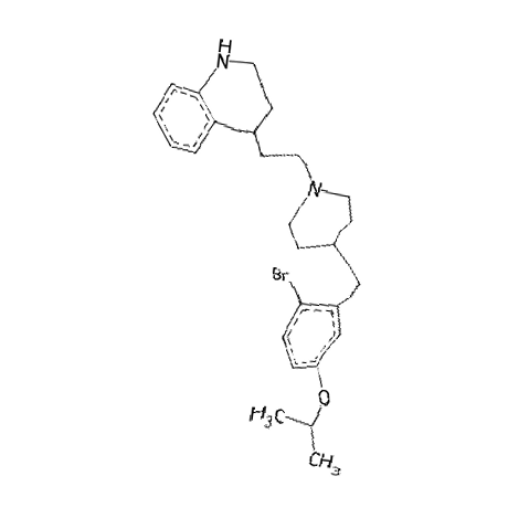 CC(C)Oc1ccc(Br)c(CC2CCN(CCC3CCNc4ccccc43)CC2)c1